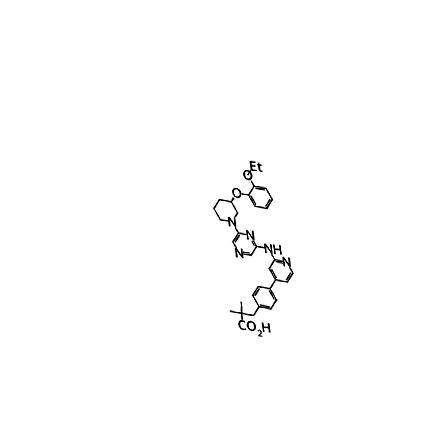 CCOc1ccccc1O[C@@H]1CCCN(c2cncc(Nc3cc(-c4ccc(CC(C)(C)C(=O)O)cc4)ccn3)n2)C1